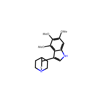 COc1cc2[nH]cc(C3CN4CCC3CC4)c2c(OC)c1OC